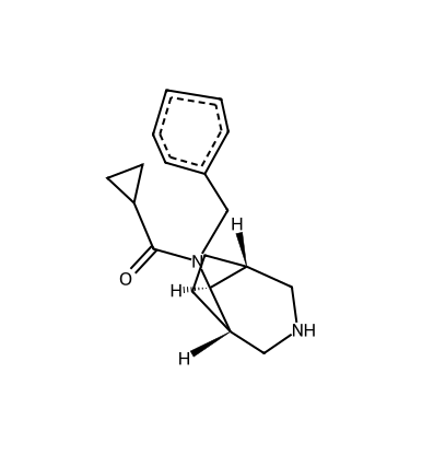 O=C(C1CC1)N(Cc1ccccc1)[C@H]1[C@@H]2CC[C@H]1CNC2